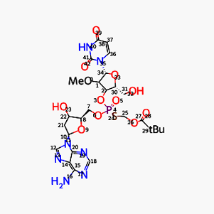 COC1C(OP(=O)(OC[C@H]2O[C@@H](n3cnc4c(N)ncnc43)CC2O)SCOC(=O)C(C)(C)C)[C@@H](CO)O[C@H]1n1ccc(=O)[nH]c1=O